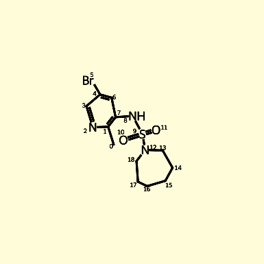 Cc1ncc(Br)cc1NS(=O)(=O)N1CCCCCC1